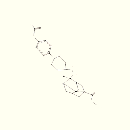 COC(=O)C12CC3CC(C1)[C@]1(C[C@]4(CC[C@H](c5ccc(OC(C)=O)cc5)CC4)OO1)C(C3)C2